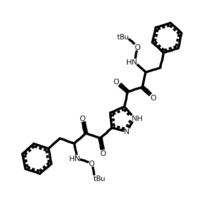 CC(C)(C)ONC(Cc1ccccc1)C(=O)C(=O)c1cc(C(=O)C(=O)C(Cc2ccccc2)NOC(C)(C)C)[nH]n1